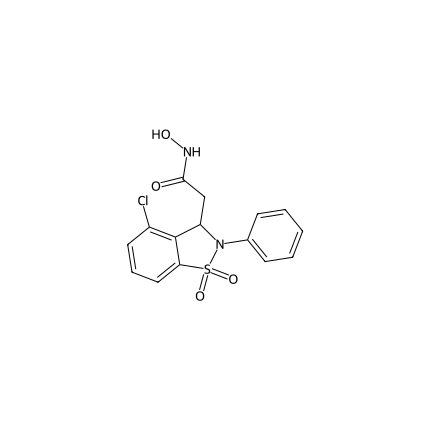 O=C(CC1c2c(Cl)cccc2S(=O)(=O)N1c1ccccc1)NO